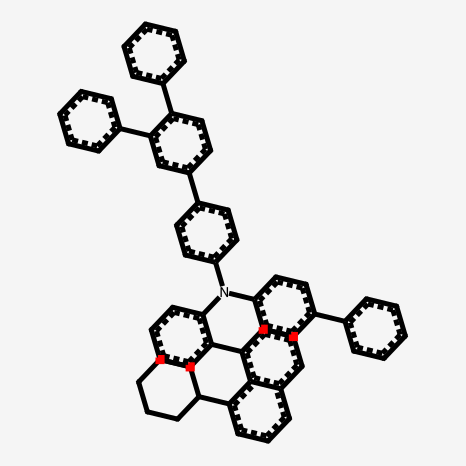 c1ccc(-c2ccc(N(c3ccc(-c4ccc(-c5ccccc5)c(-c5ccccc5)c4)cc3)c3ccccc3-c3cccc4cccc(C5CCCCC5)c34)cc2)cc1